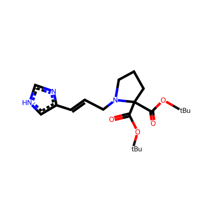 CC(C)(C)OC(=O)C1(C(=O)OC(C)(C)C)CCCN1CC=Cc1c[nH]cn1